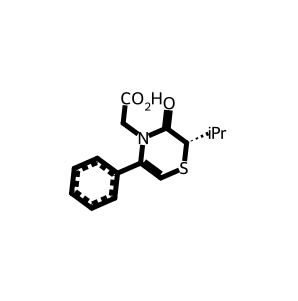 CC(C)[C@@H]1SC=C(c2ccccc2)N(CC(=O)O)C1=O